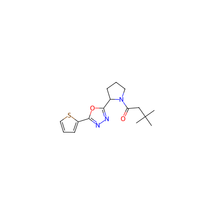 CC(C)(C)CC(=O)N1CCCC1c1nnc(-c2cccs2)o1